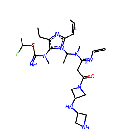 C=C/N=C(/CC(=O)N1CC(NC2CNC2)C1)N(C)C(C)n1c(/C=C\C)nc(CC)c1N(C)C(=N)SC(C)F